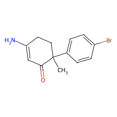 CC1(c2ccc(Br)cc2)CCC(N)=CC1=O